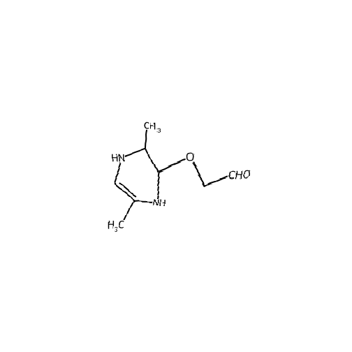 CC1=CNC(C)C(OCC=O)N1